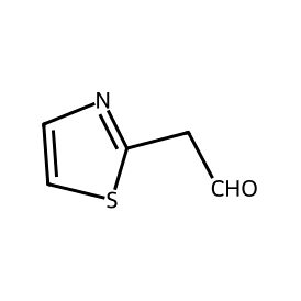 O=CCc1nccs1